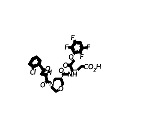 O=C(O)CC[C@H](NC(=O)[C@@H]1COCCN(C(=O)c2cc(-c3ccccc3Cl)on2)C1)C(=O)COc1c(F)c(F)cc(F)c1F